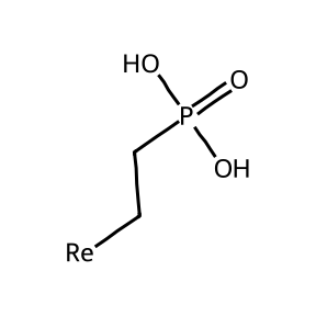 O=P(O)(O)C[CH2][Re]